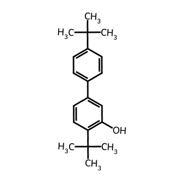 CC(C)(C)c1ccc(-c2ccc(C(C)(C)C)c(O)c2)cc1